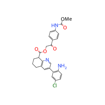 COC(=O)Nc1ccc(C(=O)COC(=O)C2CCCc3cc(-c4cc(Cl)ccc4N)cnc32)cc1